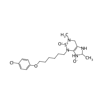 CC1NC2=C(N(CCCCCCOc3ccc(Cl)cc3)[S+]([O-])N(C)C2)[NH+]1[O-]